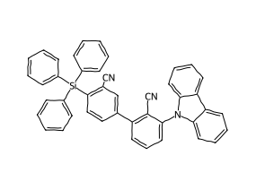 N#Cc1cc(-c2cccc(-n3c4ccccc4c4ccccc43)c2C#N)ccc1[Si](c1ccccc1)(c1ccccc1)c1ccccc1